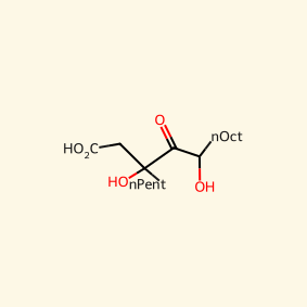 CCCCCCCCC(O)C(=O)C(O)(CCCCC)CC(=O)O